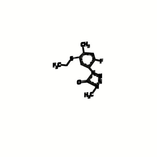 Cc1cc(F)c(-n2nnn(C)c2=O)cc1SCC(F)(F)F